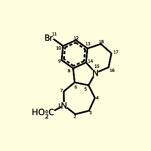 O=C(O)N1CCCC2C(C1)c1cc(Br)cc3c1N2CCC3